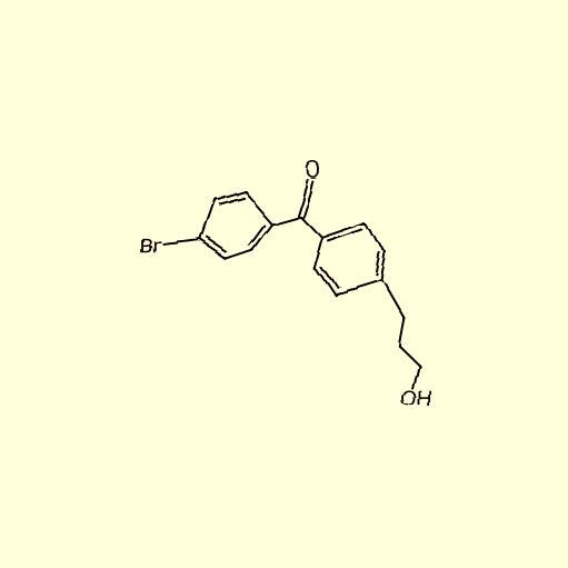 O=C(c1ccc(Br)cc1)c1ccc(CCCO)cc1